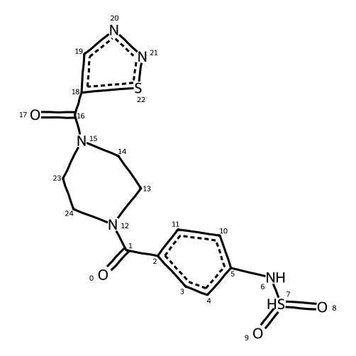 O=C(c1ccc(N[SH](=O)=O)cc1)N1CCN(C(=O)c2cnns2)CC1